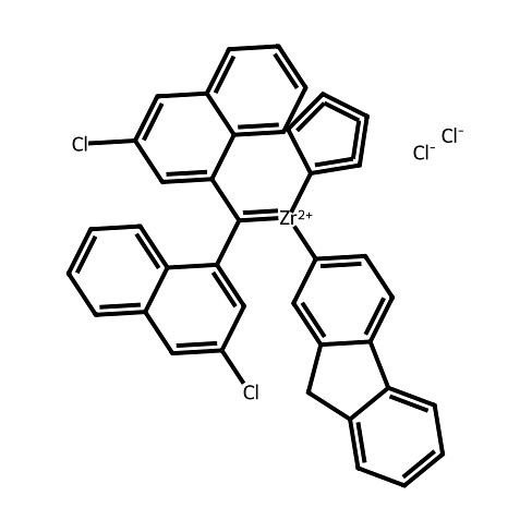 Clc1cc([C](c2cc(Cl)cc3ccccc23)=[Zr+2]([C]2=C=C=C=C2)[c]2ccc3c(c2)Cc2ccccc2-3)c2ccccc2c1.[Cl-].[Cl-]